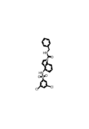 O=C(NCc1ccccc1)n1ccc2c(NS(=O)(=O)c3cc(Cl)cc(Cl)c3)cccc21